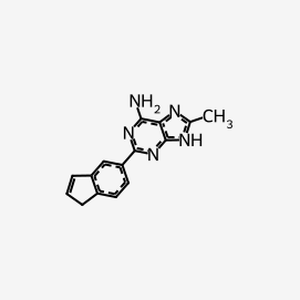 Cc1nc2c(N)nc(-c3ccc4c(c3)C=CC4)nc2[nH]1